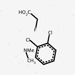 CNC.Clc1ccccc1Cl.O=C(O)CF